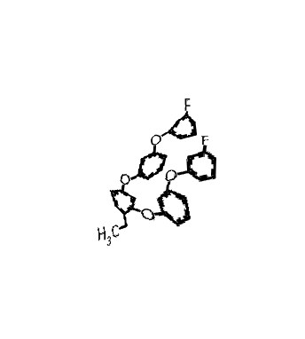 CCc1ccc(Oc2cccc(Oc3cccc(F)c3)c2)cc1Oc1cccc(Oc2cccc(F)c2)c1